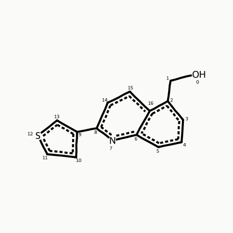 OCc1cccc2nc(-c3ccsc3)ccc12